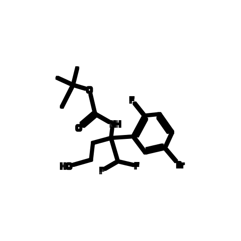 CC(C)(C)OC(=O)NC(CCO)(c1cc(Br)ccc1F)C(F)F